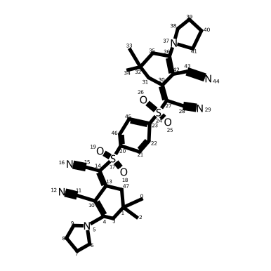 CC1(C)CC(N2CCCC2)=C(C#N)/C(=C(\C#N)S(=O)(=O)c2ccc(S(=O)(=O)/C(C#N)=C3\CC(C)(C)CC(N4CCCC4)=C3C#N)cc2)C1